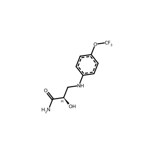 NC(=O)[C@H](O)CNc1ccc(OC(F)(F)F)cc1